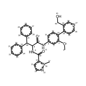 COc1cc(NC(=O)C(NC(=O)c2ccnn2C)C(c2ccccc2)c2ccccc2)ccc1-c1ccncc1CO